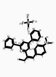 CCC(=Cc1ccc(N(C)C)cc1)c1cc(-c2ccccc2)cc(-c2ccccc2)[o+]1.F[B-](F)(F)F